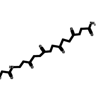 NC(=O)CCC(=O)CCC(=O)CCC(=O)CCC(=O)CCNC(=O)CBr